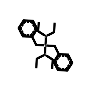 CC[N](CC)[Ti]([CH2]c1ccccc1)([CH2]c1ccccc1)[N](CC)CC